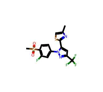 Cc1csc(-c2cc(C(F)(F)F)nn2-c2ccc(S(C)(=O)=O)c(F)c2)n1